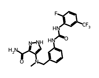 CN(Cc1cccc(NC(=O)Nc2cc(C(F)(F)F)ccc2F)c1)c1c[nH]nc1C(N)=O